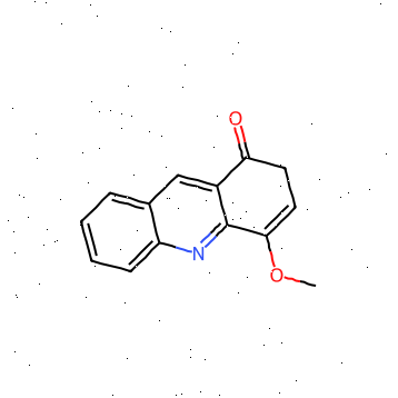 COC1=CCC(=O)c2cc3ccccc3nc21